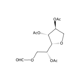 CC(=O)O[C@H]1[C@@H]([C@@H](COC=O)OC(C)=O)OC[C@@H]1OC(C)=O